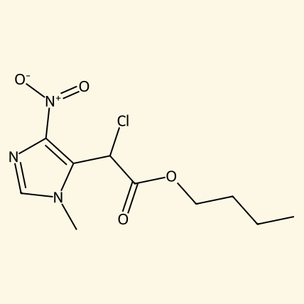 CCCCOC(=O)C(Cl)c1c([N+](=O)[O-])ncn1C